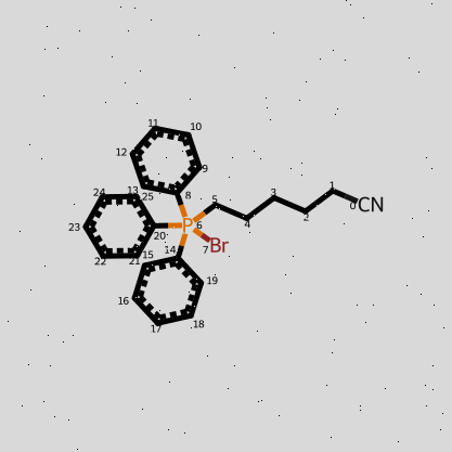 N#CCCCCCP(Br)(c1ccccc1)(c1ccccc1)c1ccccc1